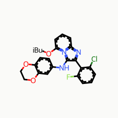 CCC(C)Oc1cccc2nc(-c3c(F)cccc3Cl)c(Nc3ccc4c(c3)OCCO4)n12